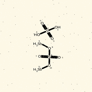 O=S(=O)(O)O.O=S(=O)([O][SbH2])[O][SbH2]